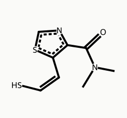 CN(C)C(=O)c1ncsc1/C=C\S